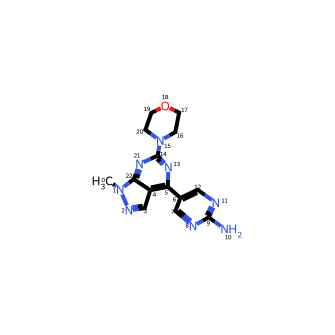 Cn1ncc2c(-c3cnc(N)nc3)nc(N3CCOCC3)nc21